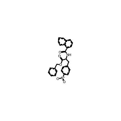 O=C(NC(Cc1ccc([N+](=O)[O-])cc1)C(=O)OCc1ccccc1)c1cccc2ccccc12